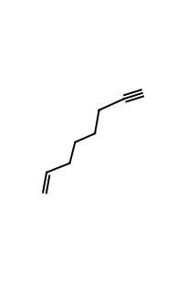 C#CCCCCC=C